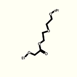 [CH2]COCC(=O)OCCOCCOCCC